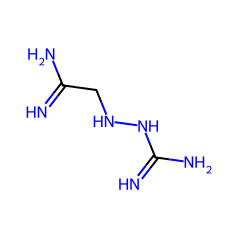 N=C(N)CNNC(=N)N